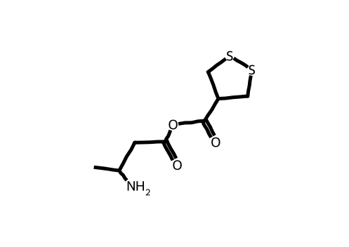 CC(N)CC(=O)OC(=O)C1CSSC1